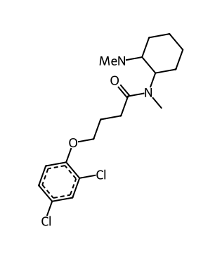 CNC1CCCCC1N(C)C(=O)CCCOc1ccc(Cl)cc1Cl